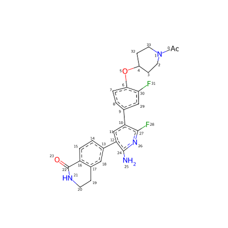 CC(=O)N1CCC(Oc2ccc(-c3cc(-c4ccc5c(c4)CCNC5=O)c(N)nc3F)cc2F)CC1